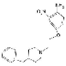 Nc1ccc(OCCN2CCC(Cc3ccccc3)CC2)cc1[N+](=O)[O-]